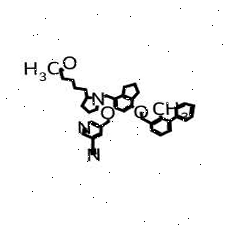 CC(=O)CCCCC1CCCN1Cc1c(OCc2cncc(C#N)c2)cc(OCc2cccc(-c3ccccc3)c2C)c2c1CCC2